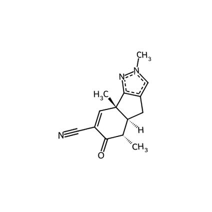 C[C@@H]1C(=O)C(C#N)=C[C@]2(C)c3nn(C)cc3C[C@@H]12